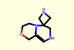 C1=C2COCCN2C2(CN1)CNC2